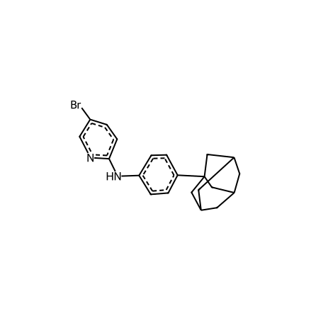 Brc1ccc(Nc2ccc(C34CC5CC(CC(C5)C3)C4)cc2)nc1